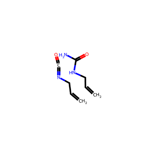 C=CCN=C=O.C=CCNC(N)=O